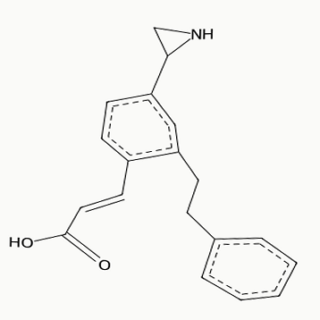 O=C(O)C=Cc1ccc(C2CN2)cc1CCc1ccccc1